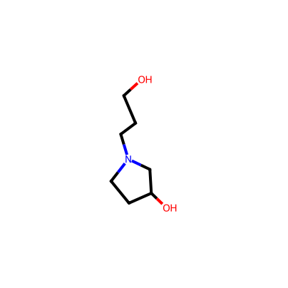 OCCCN1CCC(O)C1